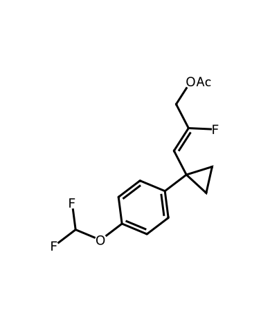 CC(=O)OCC(F)=CC1(c2ccc(OC(F)F)cc2)CC1